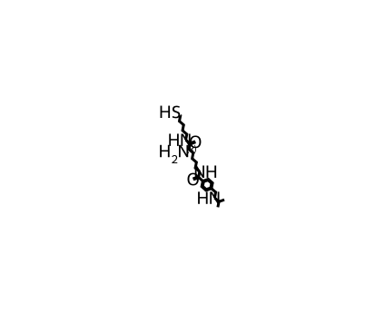 CC(C)NCc1ccc(C(=O)NCCCC[C@@H](N)C(=O)NCCCCCS)cc1